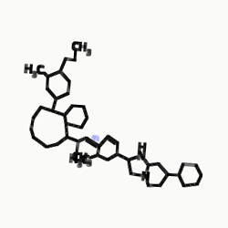 CCCC1CCC(C2CCCCCCC(C(C)/C=C3/C=CC(C4CN5CCC(C6CCCCC6)CC5N4)CC3C)C3CCCCC23)CC1C